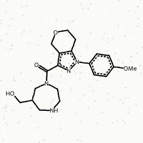 COc1ccc(-n2nc(C(=O)N3CCNCC(CO)C3)c3c2CCOC3)cc1